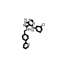 Clc1cccc(Nc2ncnc3[nH]nc(NCc4ccc(-c5ccccn5)cc4)c23)c1